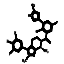 C[C@@H]1c2nn(C)c(-c3cc(F)c(F)c(F)c3)c2CCN1C(=O)c1cc(F)cc(-c2c[nH]c(C#N)c2)c1Cl